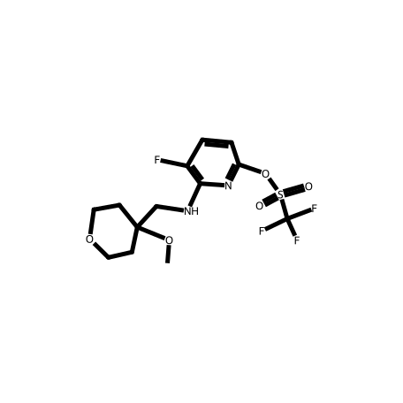 COC1(CNc2nc(OS(=O)(=O)C(F)(F)F)ccc2F)CCOCC1